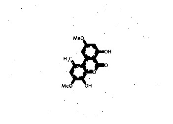 COc1cc(O)c2c(=O)oc3c(O)c(OC)cc(C)c3c2c1